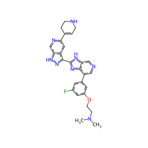 CN(C)CCOc1cc(F)cc(-c2cncc3[nH]c(-c4n[nH]c5cnc(C6=CCNCC6)cc45)nc23)c1